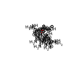 CSCC[C@H](NC(=O)[C@H](CCCNC(=N)N)NC(=O)[C@@H](NC(=O)[C@H](CCCCN)NC(=O)[C@H](CC(N)=O)NC(=O)[C@H](CCCCN)NC(=O)[C@H](CCC(=O)O)NC(=O)[C@H](CO)NC(=O)[C@H](CC(=O)O)NC(=O)[C@H](CCCNC(=N)N)NC(=O)[C@@H](N)CCC(N)=O)C(C)C)C(=O)N[C@@H](C)C(=O)N1CCC[C@H]1C(=O)N[C@@H](Cc1ccccc1)C(=O)N[C@@H](Cc1ccccc1)C(=O)O